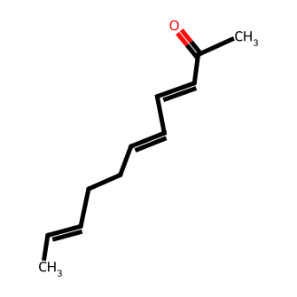 CC=CCCC=CC=CC(C)=O